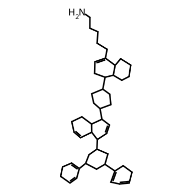 NCCCCCC1=CCC(C2CCC(C3C=CC(C4CC(C5=CCCC=C5)CC(C5=CC=CCC5)C4)C4C=CCCC34)CC2)C2CCCCC12